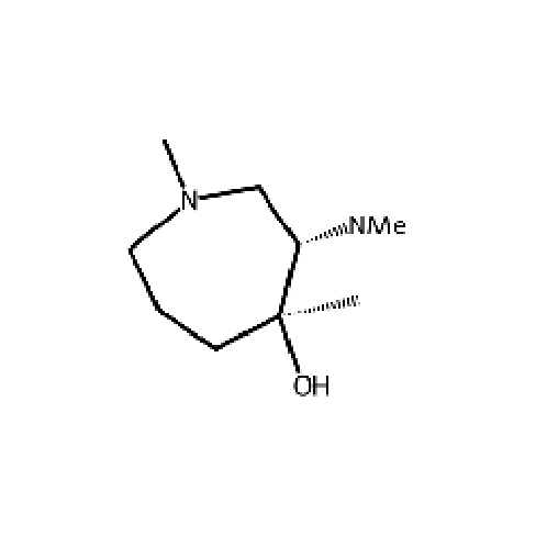 CN[C@H]1CN(C)CCC[C@]1(C)O